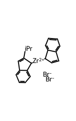 CC(C)C1=Cc2ccccc2[CH]1[Zr+2][CH]1C=Cc2ccccc21.[Br-].[Br-]